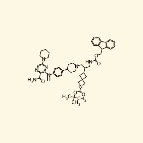 CC(C)(C)OC(=O)N1CC2(CC(C(CNC(=O)OCC3c4ccccc4-c4ccccc43)CN3CCC(c4ccc(Nc5nc(N6CCCCC6)cnc5C(N)=O)cc4)CC3)C2)C1